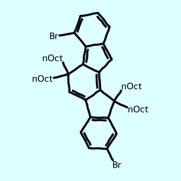 CCCCCCCCC1(CCCCCCCC)C=C2C(=C3C=c4cccc(Br)c4=C31)C(CCCCCCCC)(CCCCCCCC)c1cc(Br)ccc12